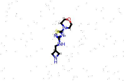 C1CN(c2nc(NCC3CNC3)ns2)CCO1